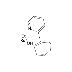 CCO.[Ru].c1ccc(-c2ccccn2)nc1